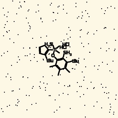 Cc1c(C)c([O][Ti]([CH3])([CH3])([SiH3])[C]2=C(C(C)(C)C)C=CC2)c([SiH3])c(C(C)(C)C)c1C.Cl.Cl